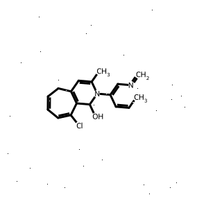 C=N/C=C(\C=C/C)N1C(C)=CC2=C(C(Cl)=CC=CC2)C1O